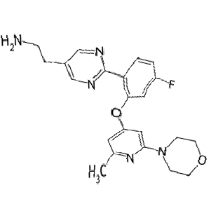 Cc1cc(Oc2cc(F)ccc2-c2ncc(CCN)cn2)cc(N2CCOCC2)n1